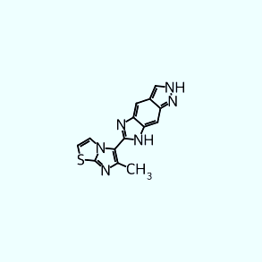 Cc1nc2sccn2c1-c1nc2cc3c[nH]nc3cc2[nH]1